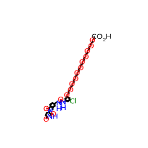 O=C(O)COCCOCCOCCOCCOCCOCCOCCOCCOCCOCCOc1cc(Cl)cc(NC(=O)NCc2ccc3c(c2)CN(C2CCC(=O)NC2=O)C3=O)c1